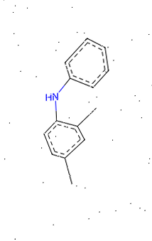 Cc1ccc(Nc2cc[c]cc2)c(C)c1